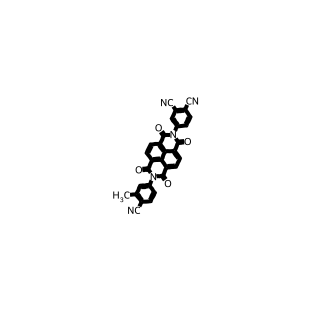 Cc1cc(N2C(=O)c3ccc4c5c(ccc(c35)C2=O)C(=O)N(c2ccc(C#N)c(C#N)c2)C4=O)ccc1C#N